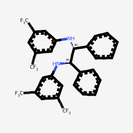 FC(F)(F)c1cc(N[C@H](c2ccccc2)[C@H](Nc2cc(C(F)(F)F)cc(C(F)(F)F)c2)c2ccccc2)cc(C(F)(F)F)c1